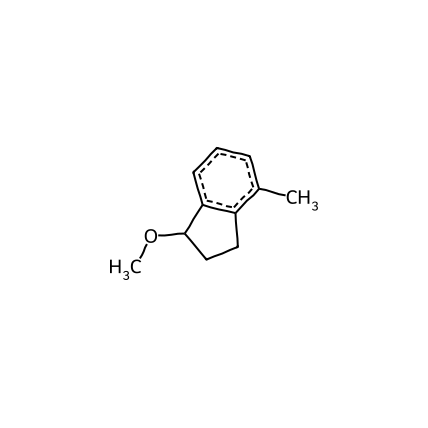 COC1CCc2c(C)cccc21